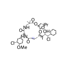 COc1ccc(C[C@H]2NC(=O)/C=C/C[C@@H]([C@H](C)C(O)C(Cl)c3ccccc3)OC(=O)[C@H](CC(C)C)OC(=O)C(C)(C)CNC2=O)cc1Cl